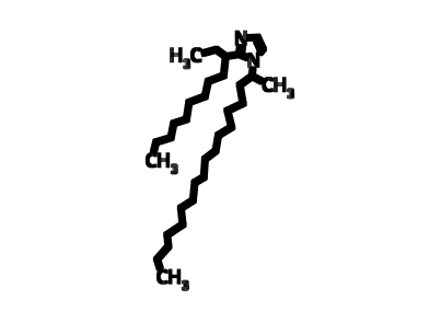 CCCCCCCCCCCCCCCCC(C)n1ccnc1C(CC)CCCCCCCCC